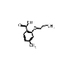 CCCOc1cc(C)ccc1C(=O)O